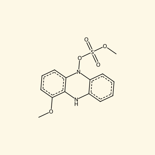 COc1cccc2c1Nc1ccccc1N2OS(=O)(=O)OC